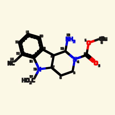 CC(C)(C)OC(=O)N1CCC2C(c3cccc(C#N)c3N2C(=O)O)C1N